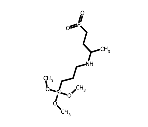 CO[Si](CCCNC(C)CCP(=O)=O)(OC)OC